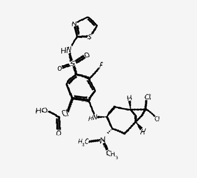 CN(C)[C@H]1C[C@@H]2[C@H](C[C@@H]1Nc1cc(F)c(S(=O)(=O)Nc3nccs3)cc1Cl)C2(Cl)Cl.O=CO